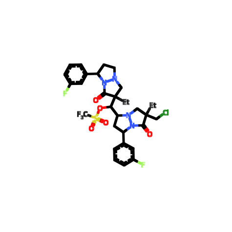 CCC1(CCl)CN2C(C(OS(=O)(=O)C(F)(F)F)C3(CC)CN4CCC(c5cccc(F)c5)N4C3=O)CC(c3cccc(F)c3)N2C1=O